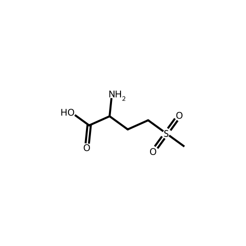 CS(=O)(=O)CCC(N)C(=O)O